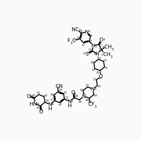 CC1(C)C(=O)N(c2cnc(C#N)c(C(F)(F)F)c2)C(=S)N1[C@H]1CC[C@H](OCCN2CCN(CC(=O)Nc3cc(C#N)cc(NC4CCC(=O)NC4=O)c3)C(C(F)(F)F)C2)CC1